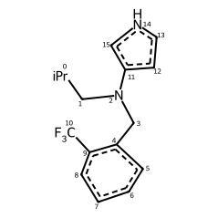 CC(C)CN(Cc1ccccc1C(F)(F)F)c1cc[nH]c1